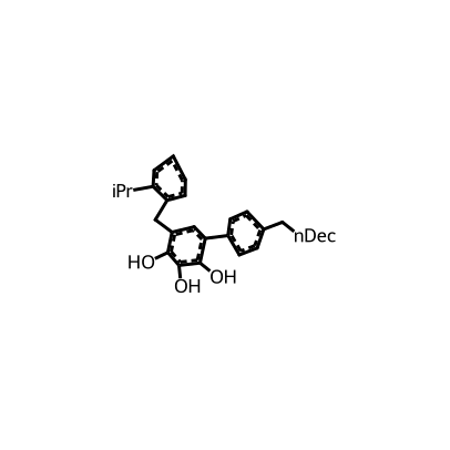 CCCCCCCCCCCc1ccc(-c2cc(Cc3ccccc3C(C)C)c(O)c(O)c2O)cc1